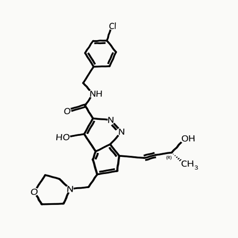 C[C@@H](O)C#Cc1cc(CN2CCOCC2)cc2c(O)c(C(=O)NCc3ccc(Cl)cc3)nnc12